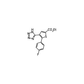 CCOC(=O)c1cc(-c2nnn[nH]2)c(-c2ccc(F)cc2)s1